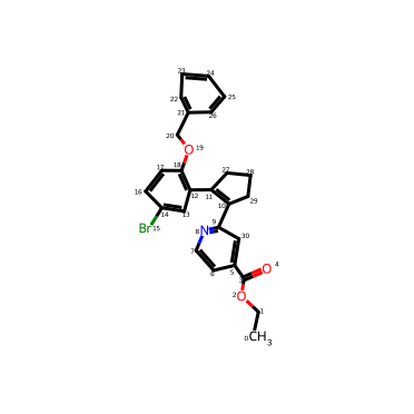 CCOC(=O)c1ccnc(C2=C(c3cc(Br)ccc3OCc3ccccc3)CCC2)c1